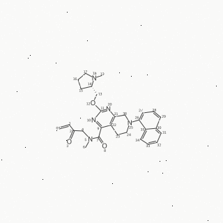 C=CC(=O)CN(C)C(=O)c1nc(OC[C@@H]2CCCN2C)nc2c1CCN(c1cccc3ccccc13)C2